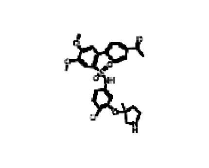 COc1cc(-c2ccc(C(C)=O)cc2)c(S(=O)(=O)Nc2ccc(Cl)c(O[C@]3(C)CCNC3)c2)cc1OC